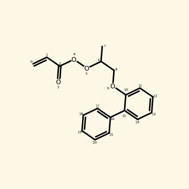 C=CC(=O)OOC(C)COc1ccccc1-c1ccccc1